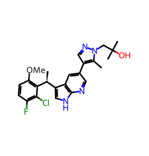 COc1ccc(F)c(Cl)c1[C@@H](C)c1c[nH]c2ncc(-c3cnn(CC(C)(C)O)c3C)cc12